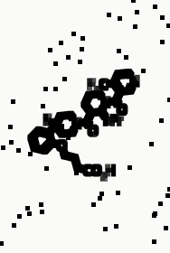 CCCC1C(C(=O)N2CCC(F)(c3ccccc3OCCCC(=O)O)CC2)CCCN1C(=O)c1cnccc1C(F)(F)F